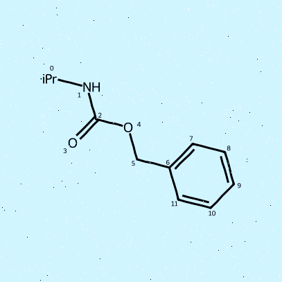 C[C](C)NC(=O)OCc1ccccc1